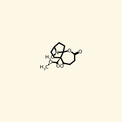 COC(=O)[C@@]12CCC3CCC1(OC(=O)CCC2=O)N3C